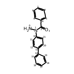 NN(C(=O)c1ccccc1)c1ccc(-c2ccccc2)cc1